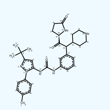 Cc1ccc(-n2nc(C(C)(C)C)cc2NC(=O)Nc2cccc(C(C(=O)[C@H]3CCC(=O)N3)C3CCNCC3)c2)cc1